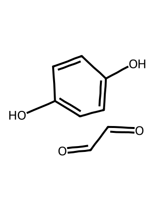 O=CC=O.Oc1ccc(O)cc1